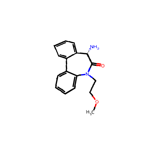 COCCN1C(=O)[C@@H](N)c2ccccc2-c2ccccc21